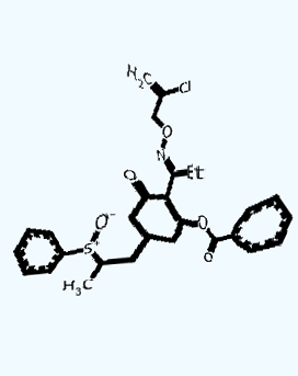 C=C(Cl)CON=C(CC)C1=C(OC(=O)c2ccccc2)CC(CC(C)[S+]([O-])c2ccccc2)CC1=O